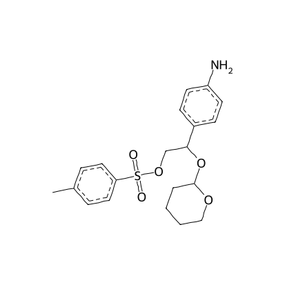 Cc1ccc(S(=O)(=O)OCC(OC2CCCCO2)c2ccc(N)cc2)cc1